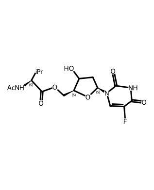 CC(=O)N[C@H](C(=O)OC[C@@H]1O[C@H](n2cc(F)c(=O)[nH]c2=O)CC1O)C(C)C